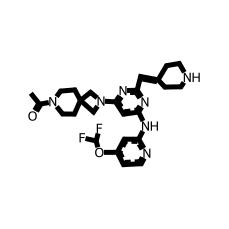 CC(=O)N1CCC2(CC1)CN(c1cc(Nc3cc(OC(F)F)ccn3)nc(C=C3CCNCC3)n1)C2